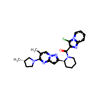 Cc1cn2nc([C@@H]3CCCCN3C(=O)c3nc4ccccn4c3F)cc2nc1N1CC[C@H](C)C1